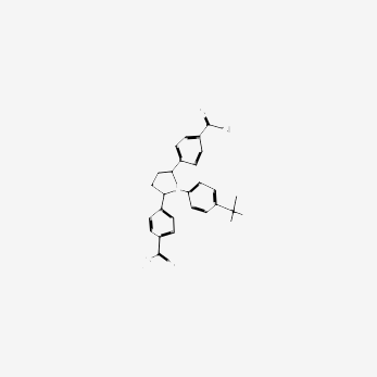 CC(C)(C)c1ccc(N2C(c3ccc(C(=N)N)cc3)CCC2c2ccc(C(=N)N)cc2)cc1